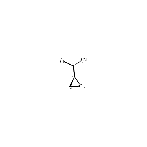 N#C[C@@H](Cl)[C@@H]1CO1